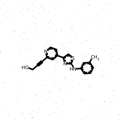 Cc1cccc(Nc2nc(-c3ccnc(C#CCO)c3)cs2)c1